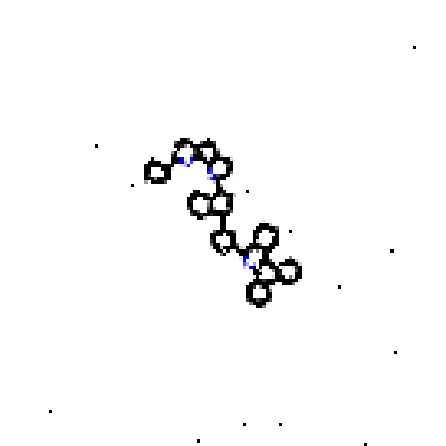 C1=CC2=C(c3cccc(-c4nc5c6ccccc6c6ccccc6c5c5ccccc45)c3)C=CC(c3ccc4ccc5ccc(-c6ccccc6)nc5c4n3)C2C=C1